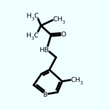 Cc1cbccc1CBC(=O)C(C)(C)C